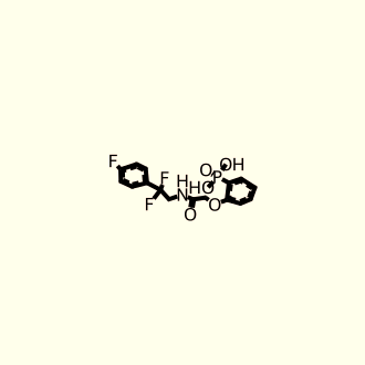 O=C(COc1ccccc1P(=O)(O)O)NCC(F)(F)c1ccc(F)cc1